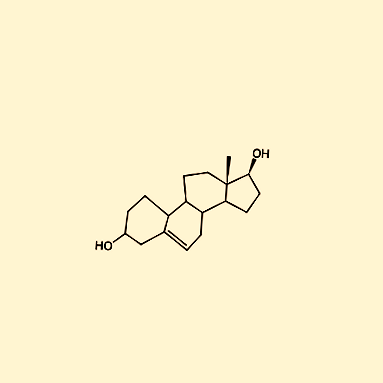 C[C@]12CCC3C4CCC(O)CC4=CCC3C1CC[C@@H]2O